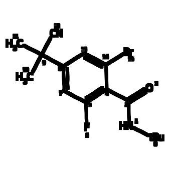 CC(C)(C)NC(=O)c1c(F)cc(C(C)(C)C#N)cc1Br